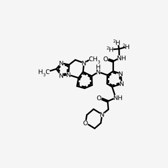 [2H]C([2H])([2H])NC(=O)c1nnc(NC(=O)CN2CCOCC2)cc1Nc1cccc2c1N(C)Cc1nc(C)nn1-2